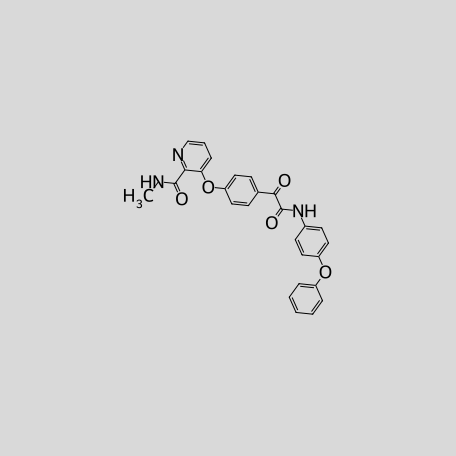 CNC(=O)c1ncccc1Oc1ccc(C(=O)C(=O)Nc2ccc(Oc3ccccc3)cc2)cc1